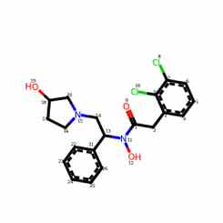 O=C(Cc1cccc(Cl)c1Cl)N(O)C(CN1CCC(O)C1)c1ccccc1